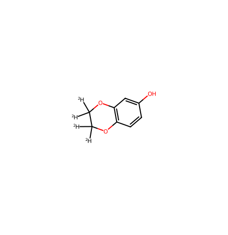 [2H]C1([2H])Oc2ccc(O)cc2OC1([2H])[2H]